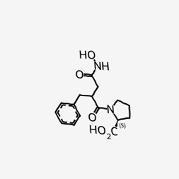 O=C(CC(Cc1ccccc1)C(=O)N1CCC[C@H]1C(=O)O)NO